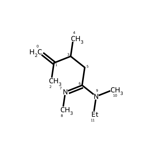 C=C(C)C(C)CC(=NC)N(C)CC